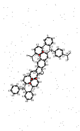 CC(C)c1ccc(-c2ccccc2N(c2ccc(C(C)C)cc2)c2ccc3cc4c(cc3c2)oc2cc3cc(N(c5ccccc5)c5ccccc5-c5ccccc5)ccc3cc24)cc1